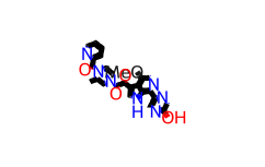 COc1cnc(-c2cnc(O)cn2)c2[nH]cc(C(=O)C(=O)N3CCN(C(=O)c4ccccn4)C(C)C3)c12